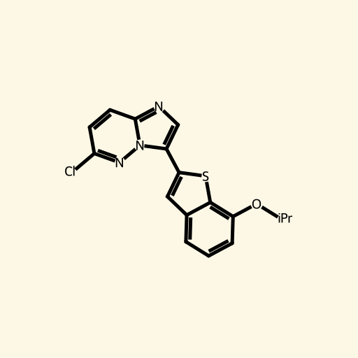 CC(C)Oc1cccc2cc(-c3cnc4ccc(Cl)nn34)sc12